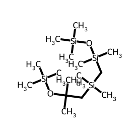 CC(C)(C[Si](C)(C)C[Si](C)(C)O[Si](C)(C)C)O[Si](C)(C)C